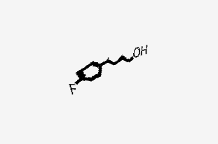 OCCC[CH]c1ccc(F)cc1